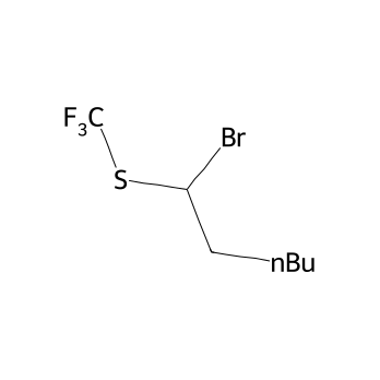 CCCCCC(Br)SC(F)(F)F